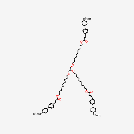 CCCCC[C@H]1CC[C@H](c2ccc(C=CC(=O)OCCCCCCCCCCOCC(COCCCCCCCCCCOC(=O)C=Cc3ccc([C@H]4CC[C@H](CCCCC)CC4)cc3)OCCCCCCCCCCOC(=O)C=Cc3ccc([C@H]4CC[C@H](CCCCC)CC4)cc3)cc2)CC1